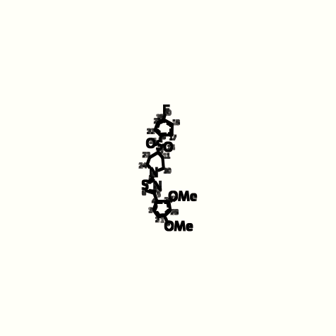 COc1ccc(-c2csc(N3CCC(S(=O)(=O)c4ccc(F)cc4)CC3)n2)c(OC)c1